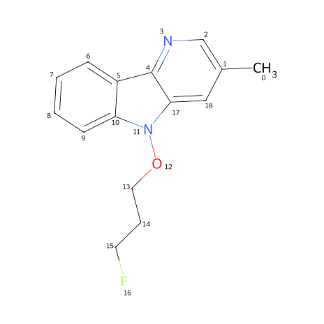 Cc1cnc2c3ccccc3n(OCCCF)c2c1